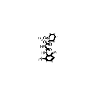 CC(C)c1cccc(C(C)C)c1NC(=O)NS(=O)(=O)C1CCCCN1C